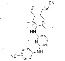 C=CC/C(C)=C(Nc1ccnc(Nc2ccc(C#N)cc2)n1)\C(C)=C/C/C=C/C#N